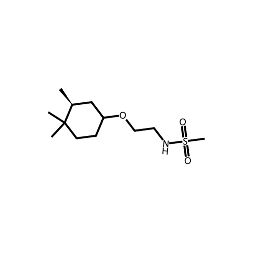 C[C@H]1CC(OCCNS(C)(=O)=O)CCC1(C)C